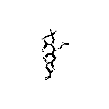 COC[C@H](c1cnn2cc(C=O)nc2c1)N1CC(F)(F)CNC1=O